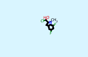 Cn1c(C(O)Cl)cc2cc(F)cc(F)c21